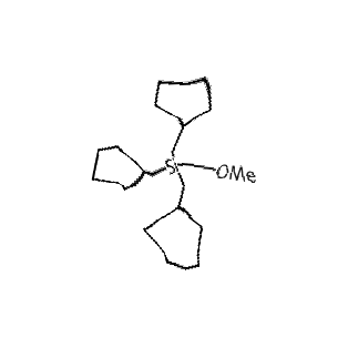 CO[Si](C1CCCC1)(C1CCCC1)C1CCCC1